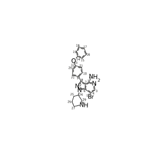 Nc1ncc(Br)c2c1c(-c1ccc(Oc3ccccc3)cc1)nn2C1CCCNC1